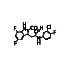 O=C(Cc1c(C(=O)O)[nH]c2c(F)cc(F)cc12)Nc1ccc(F)c(Cl)c1